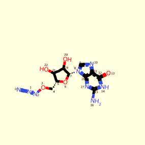 [N-]=[N+]=NOC[C@H]1O[C@@H](n2cnc3c(=O)[nH]c(N)nc32)C(O)C1O